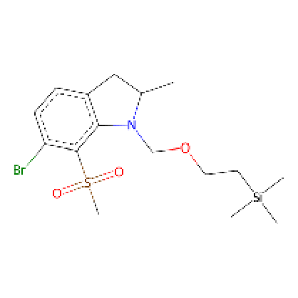 CC1Cc2ccc(Br)c(S(C)(=O)=O)c2N1COCC[Si](C)(C)C